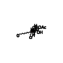 CC(=O)Oc1cc(O)c2c3c1O[C@H]1CCC[C@H]4[C@@H](C2)[N+](CC2CC2)(NC(=O)C(CCCCCCCCCc2ccccc2)CCc2ccccc2)CC[C@]314